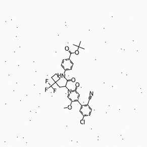 COc1cn(C(CC2(C(F)(F)F)CCC2)C(=O)Nc2ccc(C(=O)OC(C)(C)C)cc2)c(=O)cc1-c1cc(Cl)ccc1C#N